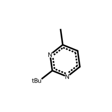 Cc1ccnc(C(C)(C)C)n1